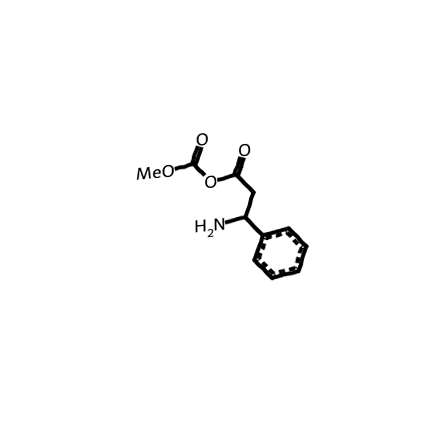 COC(=O)OC(=O)CC(N)c1ccccc1